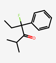 CCC(F)(C(=O)C(C)C)c1ccccc1